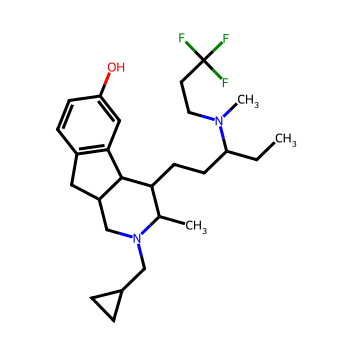 CCC(CCC1C2c3cc(O)ccc3CC2CN(CC2CC2)C1C)N(C)CCC(F)(F)F